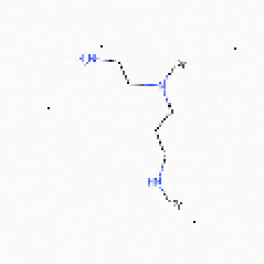 CC(C)NCCCN(CCN)C(C)C